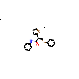 O=C(Nc1ccccc1)/C(=C\Sc1ccccc1)c1cccs1